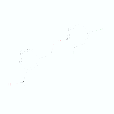 Cc1cc(Cl)cc(Cl)c1OCc1cccc(C(=O)O)c1